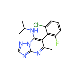 Cc1nc2ncnn2c(NC(C)C)c1-c1c(F)cccc1Cl